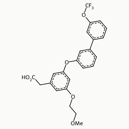 COCCOc1cc(CC(=O)O)cc(Oc2cccc(-c3cccc(OC(F)(F)F)c3)c2)c1